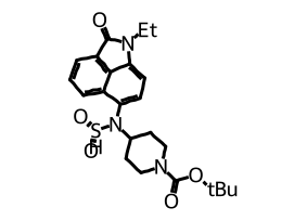 CCN1C(=O)c2cccc3c(N(C4CCN(C(=O)OC(C)(C)C)CC4)[SH](=O)=O)ccc1c23